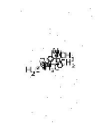 C=CNC(=O)Nc1cccc([C@]2(c3nncn3C)C[C@](C)(OC)C2)c1